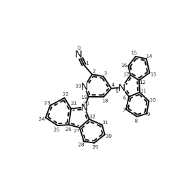 N#Cc1cc(-n2c3ccccc3c3ccccc32)cc(-n2c3ccccc3c3ccccc32)n1